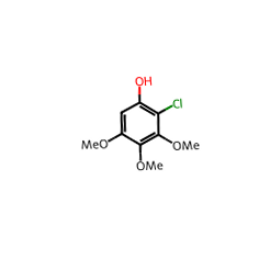 COc1cc(O)c(Cl)c(OC)c1OC